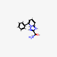 NC(=O)c1nc2cccc(-c3ccccc3)n2n1